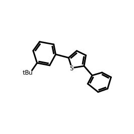 CC(C)(C)c1cccc(-c2ccc(-c3ccccc3)s2)c1